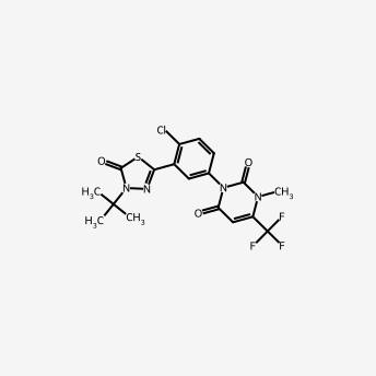 Cn1c(C(F)(F)F)cc(=O)n(-c2ccc(Cl)c(-c3nn(C(C)(C)C)c(=O)s3)c2)c1=O